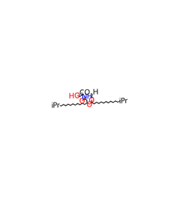 CC(C)CCCCCCCCCCCC(=O)OC(CCCCCCCCCCCC(C)C)CC(=O)N[C@@H](CO)C(=O)O